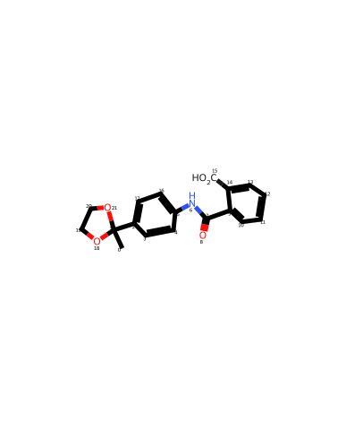 CC1(c2ccc(NC(=O)c3ccccc3C(=O)O)cc2)OCCO1